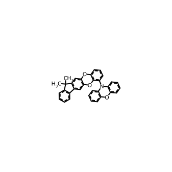 CC1(C)c2ccccc2-c2cc3c(cc21)Oc1cccc(N2c4ccccc4Oc4ccccc42)c1O3